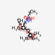 CCCCN(O)C(=O)N/C=C/Cc1cc(C2CCC(c3cc(OC)c(OC)c(OC)c3)O2)cc(OC)c1OCCC